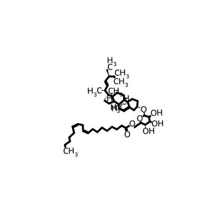 CCCCC/C=C\C/C=C\CCCCCCCC(=O)OCC1O[C@@H](O[C@H]2CC[C@@]3(C)C(=CC[C@H]4[C@@H]5CC[C@H]([C@H](C)/C=C/[C@@H](CC)C(C)C)[C@@]5(C)CC[C@@H]43)C2)C(O)C(O)[C@@H]1O